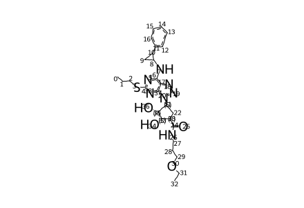 CCCSc1nc(NC2CC2c2ccccc2)c2nnn([C@H]3C[C@@H](C(=O)NCCCOCC)[C@H](O)[C@@H]3O)c2n1